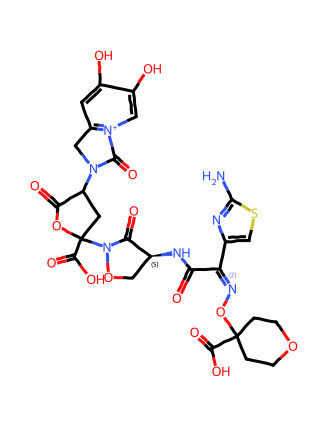 Nc1nc(/C(=N/OC2(C(=O)O)CCOCC2)C(=O)N[C@H]2CON(C3(C(=O)O)CC(N4Cc5cc(O)c(O)c[n+]5C4=O)C(=O)O3)C2=O)cs1